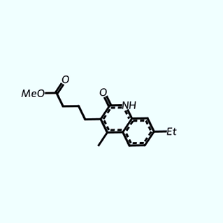 CCc1ccc2c(C)c(CCCC(=O)OC)c(=O)[nH]c2c1